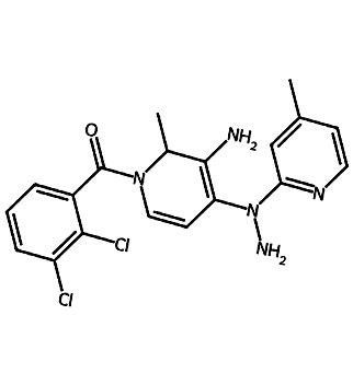 Cc1ccnc(N(N)C2=C(N)C(C)N(C(=O)c3cccc(Cl)c3Cl)C=C2)c1